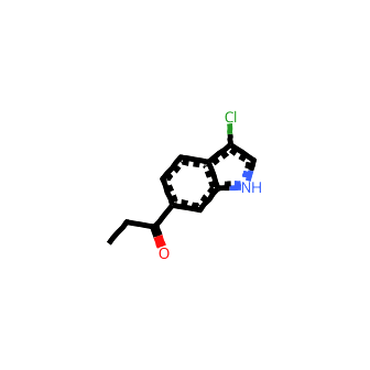 CCC(=O)c1ccc2c(Cl)c[nH]c2c1